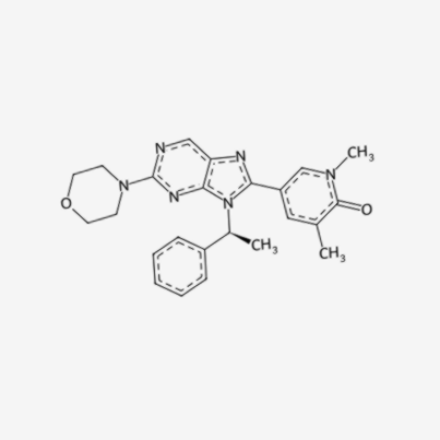 Cc1cc(-c2nc3cnc(N4CCOCC4)nc3n2[C@@H](C)c2ccccc2)cn(C)c1=O